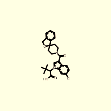 CC(C)(C)C(C(=O)O)n1cc(C(=O)N2CCC3(CC2)OCc2ccccc23)c2ccc(Cl)cc21